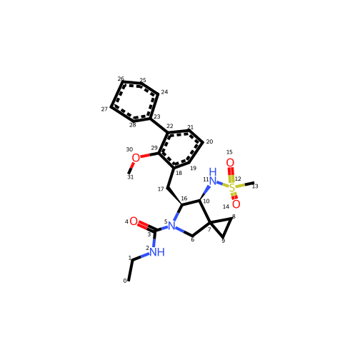 CCNC(=O)N1CC2(CC2)[C@H](NS(C)(=O)=O)[C@@H]1Cc1cccc(-c2ccccc2)c1OC